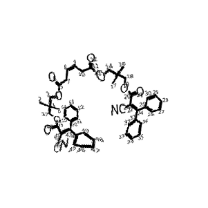 CC(C)(COC(=O)C/C=C\CC(=O)OCC(C)(C)COC(=O)C(C#N)=C(c1ccccc1)c1ccccc1)COC(=O)C(C#N)=C(c1ccccc1)c1ccccc1